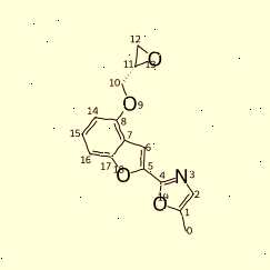 Cc1cnc(-c2cc3c(OC[C@@H]4CO4)cccc3o2)o1